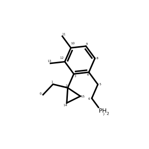 CCC1(c2c(CCP)ccc(C)c2C)CC1